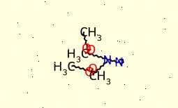 CCCCCCCCOC(=O)C(C)CCCCCCCN(CCCCCCCCC(C)C(=O)OCCCCCCC)CCCCN1CCCC1